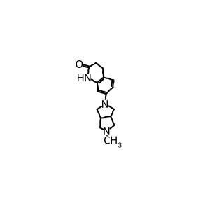 CN1CC2CN(c3ccc4c(c3)NC(=O)CC4)CC2C1